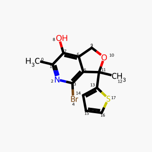 Cc1nc(Br)c2c(c1O)COC2(C)c1cccs1